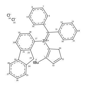 CC(C)(C)C1=[C]([Zr+2](=[C](c2ccccc2)c2ccccc2)[c]2cccc3c2Cc2ccccc2-3)CC=C1.[Cl-].[Cl-]